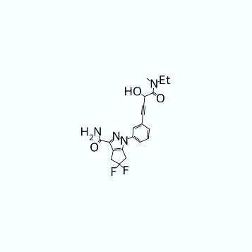 CCN(C)C(=O)C(O)C#Cc1cccc(-n2nc(C(N)=O)c3c2CC(F)(F)C3)c1